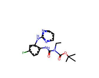 CCN(C(=O)Nc1ccc(F)cc1Nc1ncccn1)C(=O)OC(C)(C)C